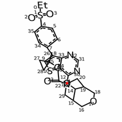 CCS(=O)(=O)c1ccc(-c2csc3c(OC4C5COCC4CN(C(=O)OC4(C)CC4)C5)ncnc23)cc1